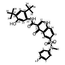 CN(c1ccc(F)cc1)S(=O)(=O)c1ccc2[nH]cc(C(=O)Nc3cc(O)c(C(C)(C)C)cc3C(C)(C)C)c(=O)c2c1